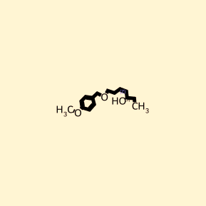 CC[C@H](O)/C=C\CCOCc1ccc(OC)cc1